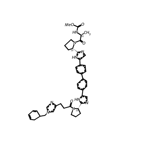 COC(=O)N[C@@H](C)C(=O)N1CCC[C@H]1c1ncc(-c2ccc(-c3ccc(-c4cnc([C@@H]5CCCN5C(=O)CCc5cn(CC6C=CC=CC6)cn5)[nH]4)cc3)cc2)[nH]1